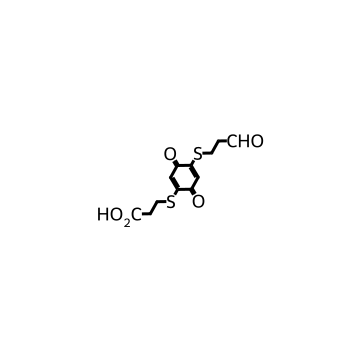 O=CCCSC1=CC(=O)C(SCCC(=O)O)=CC1=O